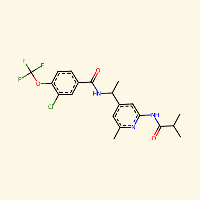 Cc1cc(C(C)NC(=O)c2ccc(OC(F)(F)F)c(Cl)c2)cc(NC(=O)C(C)C)n1